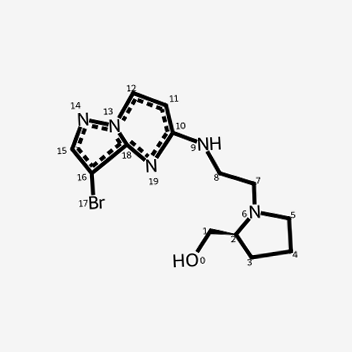 OC[C@@H]1CCCN1CCNc1ccn2ncc(Br)c2n1